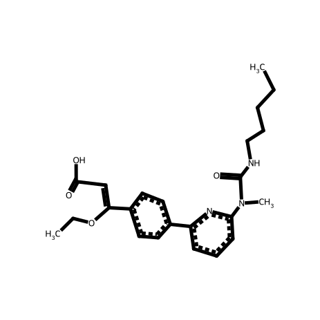 CCCCCNC(=O)N(C)c1cccc(-c2ccc(C(=CC(=O)O)OCC)cc2)n1